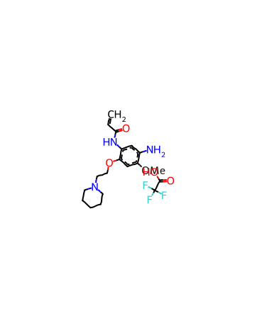 C=CC(=O)Nc1cc(N)c(OC)cc1OCCN1CCCCC1.O=C(O)C(F)(F)F